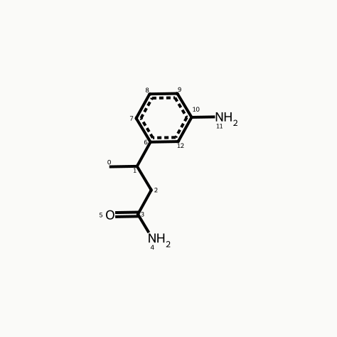 CC(CC(N)=O)c1cccc(N)c1